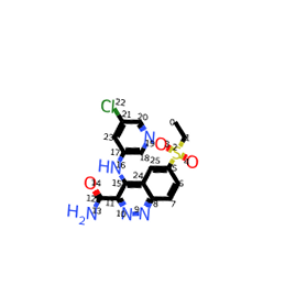 CCS(=O)(=O)c1ccc2nnc(C(N)=O)c(Nc3cncc(Cl)c3)c2c1